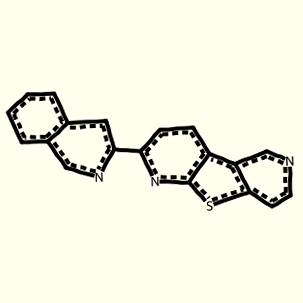 c1ccc2cc(-c3ccc4c(n3)sc3ccncc34)ncc2c1